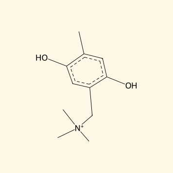 Cc1cc(O)c(C[N+](C)(C)C)cc1O